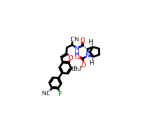 CC(C)(C)OC(=O)N1[C@@H]2CC[C@@H](C2)[C@H]1C(=O)NC(C#N)Cc1cc2cc(-c3ccc(C#N)c(F)c3)ccc2o1